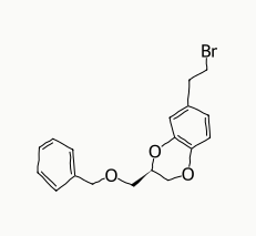 BrCCc1ccc2c(c1)O[C@H](COCc1ccccc1)CO2